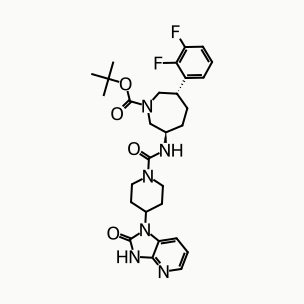 CC(C)(C)OC(=O)N1C[C@H](NC(=O)N2CCC(n3c(=O)[nH]c4ncccc43)CC2)CC[C@@H](c2cccc(F)c2F)C1